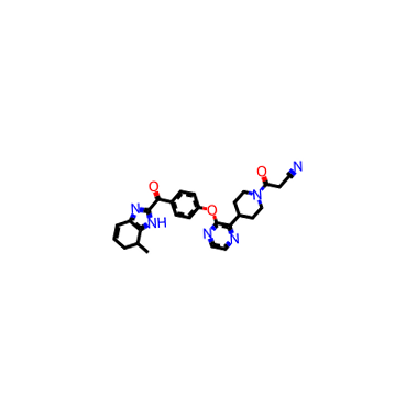 CC1CC=Cc2nc(C(=O)c3ccc(Oc4nccnc4C4CCN(C(=O)CC#N)CC4)cc3)[nH]c21